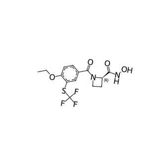 CCOc1ccc(C(=O)N2CC[C@@H]2C(=O)NO)cc1SC(F)(F)F